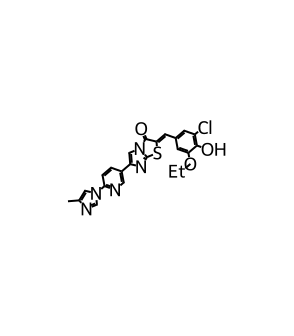 CCOc1cc(/C=c2\sc3nc(-c4ccc(-n5cnc(C)c5)nc4)cn3c2=O)cc(Cl)c1O